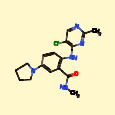 CNC(=O)c1cc(N2CCCC2)ccc1Nc1nc(C)ncc1Cl